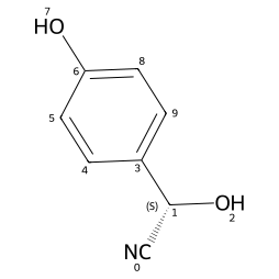 N#C[C@@H](O)c1ccc(O)cc1